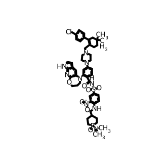 CN(C)P1(=O)CCC(CNc2ccc(S(=O)(=O)NC(=O)c3ccc(N4CCN(CC5=C(c6ccc(Cl)cc6)CC(C)(C)CC5)CC4)cc3N3CCCOc4nc5[nH]ccc5cc43)cc2[N+](=O)[O-])CC1